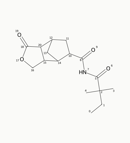 CCC(C)(C)C(=O)NC(=O)C1CC2CC1C1COC(=O)C21